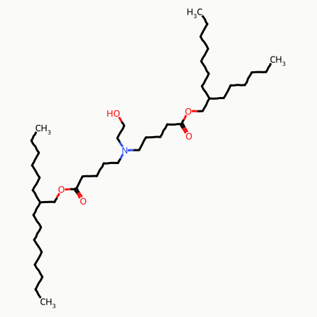 CCCCCCCCC(CCCCCC)COC(=O)CCCCN(CCO)CCCCC(=O)OCC(CCCCCC)CCCCCCC